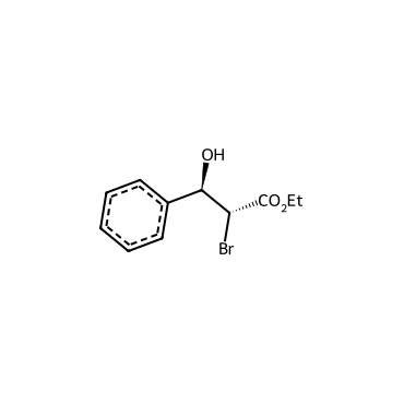 CCOC(=O)[C@H](Br)[C@H](O)c1ccccc1